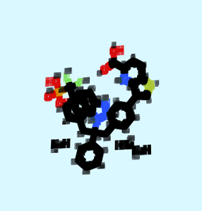 O=C(O)c1ccc2scc(-c3ccc(CC(Cc4ccc(C(F)(F)P(=O)(O)O)cc4)(c4ccccc4)n4nnc5ccccc54)cc3)c2n1.[NaH].[NaH].[NaH]